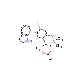 CCC(=O)OC1C(C)c2c(cc(F)c(-c3cccc4cc[nH]c34)c2F)NC1(C)C